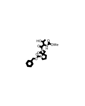 COC(=O)NC(C(=O)N1CC2(CCCN2C(=O)OCc2ccccc2)C1=O)C(C)O